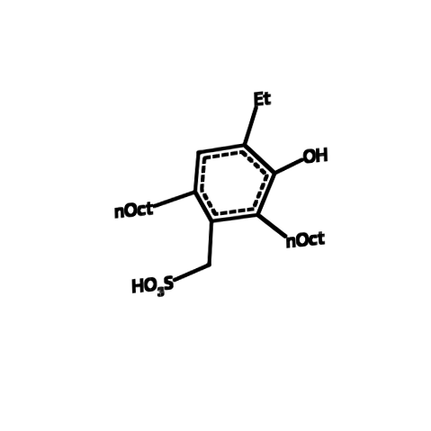 CCCCCCCCc1cc(CC)c(O)c(CCCCCCCC)c1CS(=O)(=O)O